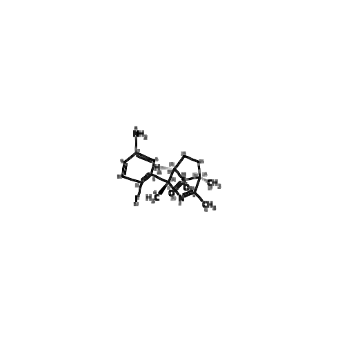 CC1=N[C@](C)(c2cc(N)ccc2F)[C@H]2CC[C@]1(C)S2(=O)=O